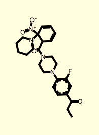 CCC(=O)c1ccc(N2CCN(C(=O)C3C=CC=CC3(N3CCCCC3)[N+](=O)[O-])CC2)c(F)c1